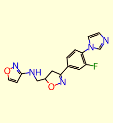 Fc1cc(C2=NOC(CNc3ccon3)C2)ccc1-n1ccnc1